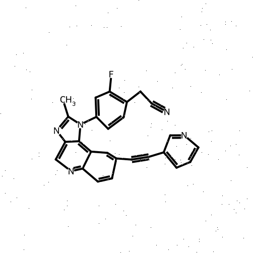 Cc1nc2cnc3ccc(C#Cc4cccnc4)cc3c2n1-c1ccc(CC#N)c(F)c1